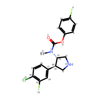 CCN(C(=O)Oc1ccc(F)cc1)[C@@H]1CNC[C@H]1c1ccc(Cl)c(F)c1